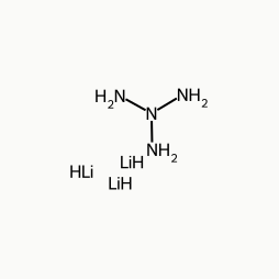 NN(N)N.[LiH].[LiH].[LiH]